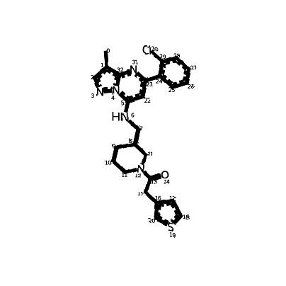 Cc1cnn2c(NCC3CCCN(C(=O)Cc4ccsc4)C3)cc(-c3ccccc3Cl)nc12